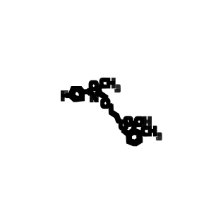 Cc1cccc(COCCCCOCc2nc(-c3ccc(F)cc3)oc2C)c1C(=O)O